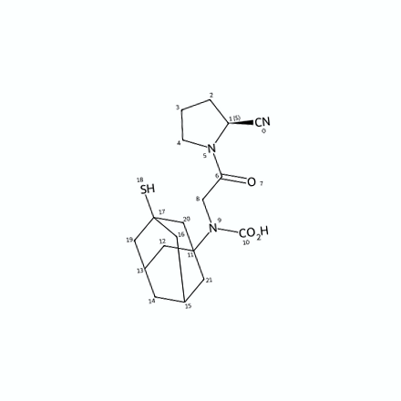 N#C[C@@H]1CCCN1C(=O)CN(C(=O)O)C12CC3CC(CC(S)(C3)C1)C2